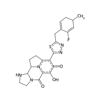 CC1C=C(F)C(Cc2nnc(-c3c4n5c(c(O)c3=O)C(=O)N3CCNC3C5CC4)s2)=CC1